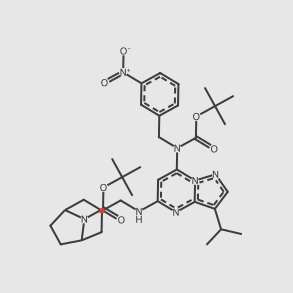 CC(C)c1cnn2c(N(Cc3cccc([N+](=O)[O-])c3)C(=O)OC(C)(C)C)cc(NCC3CC4CCC(C3)N4C(=O)OC(C)(C)C)nc12